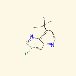 CC(C)(C)c1ccnc2cc(F)cnc12